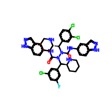 O=C(Nc1ccc2[nH]ncc2c1)N(C(c1cc(F)cc(Cl)c1)[C@@H]1CCCCN1)N(C(=O)Nc1ccc2[nH]ncc2c1)C(c1ccc(Cl)c(Cl)c1)[C@@H]1CCCCN1